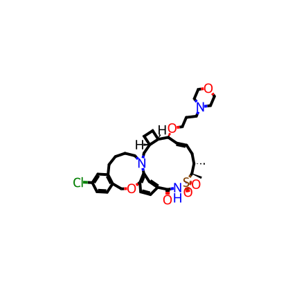 C[C@@H]1[C@@H](C)C/C=C/[C@H](OCCCN2CCOCC2)[C@@H]2CC[C@H]2CN2CCCCc3cc(Cl)ccc3COc3ccc(cc32)C(=O)NS1(=O)=O